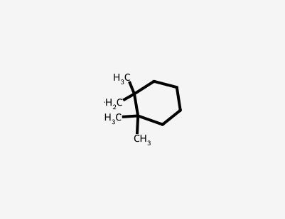 [CH2]C1(C)CCCCC1(C)C